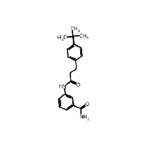 CC(C)(C)c1ccc(CCC(=O)Nc2cccc(C(N)=O)c2)cc1